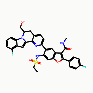 CCS(=O)(=O)Nc1cc2oc(-c3ccc(F)cc3)c(C(=O)NC)c2cc1-c1ccc2c(n1)-c1cc3c(F)cccc3n1C(CO)C2